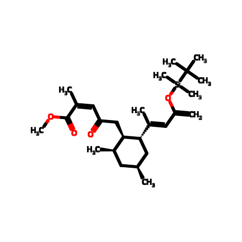 C=C(/C=C(\C)[C@@H]1C[C@@H](C)C[C@@H](C)[C@H]1CC(=O)/C=C(/C)C(=O)OC)O[Si](C)(C)C(C)(C)C